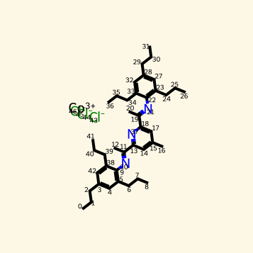 CCCc1cc(CCC)c(N=C(C)c2cc(C)cc(C(C)=Nc3c(CCC)cc(CCC)cc3CCC)n2)c(CCC)c1.[Cl-].[Cl-].[Cl-].[Co+3]